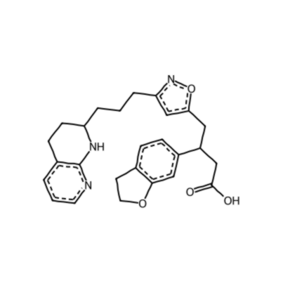 O=C(O)CC(Cc1cc(CCCC2CCc3cccnc3N2)no1)c1ccc2c(c1)OCC2